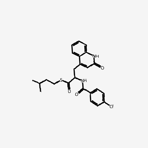 CC(C)CCSC(=O)C(Cc1cc(=O)[nH]c2ccccc12)NC(=O)c1ccc(Cl)cc1